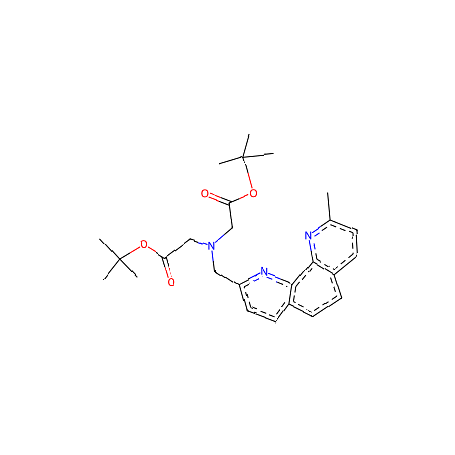 Cc1ccc2ccc3ccc(CN(CC(=O)OC(C)(C)C)CC(=O)OC(C)(C)C)nc3c2n1